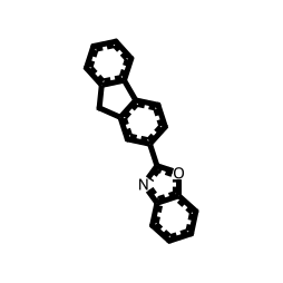 c1ccc2c(c1)Cc1cc(-c3nc4ccccc4o3)ccc1-2